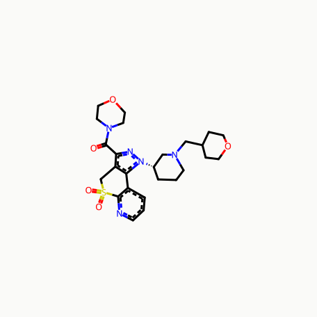 O=C(c1nn([C@H]2CCCN(CC3CCOCC3)C2)c2c1CS(=O)(=O)c1ncccc1-2)N1CCOCC1